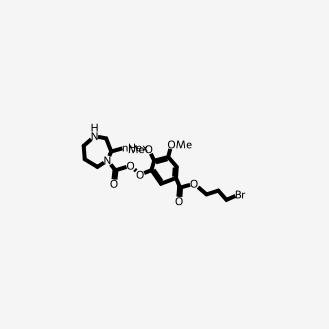 CCCCCCC1CNCCCN1C(=O)OOc1cc(C(=O)OCCCBr)cc(OC)c1OC